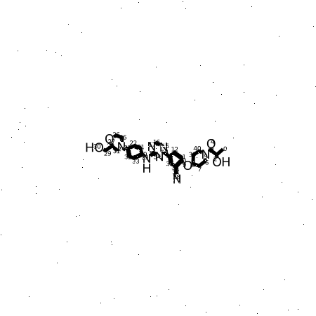 CC(O)C(=O)N1CCC(Oc2ccc(-c3ncnc(Nc4ccc(N5CCOC(CO)C5)cc4)n3)cc2C#N)CC1